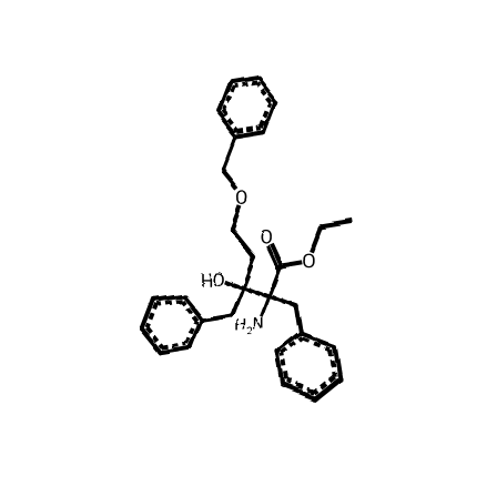 CCOC(=O)C(N)(Cc1ccccc1)C(O)(CCOCc1ccccc1)Cc1ccccc1